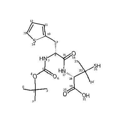 CC(C)(C)OC(=O)N[C@H](Cc1cccs1)C(=O)N[C@@H](C(=O)O)C(C)(C)S